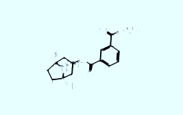 COC(=O)c1cccc(C(=O)OC2C[C@H]3CC[C@@H](C2)N3C)c1